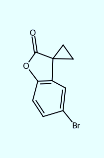 O=C1Oc2ccc(Br)cc2C12CC2